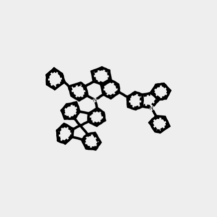 c1ccc(-c2ccc(N(c3cccc(-c4ccc5c(c4)c4ccccc4n5-c4ccccc4)c3)c3cccc4c3-c3ccccc3C43c4ccccc4-c4ccccc43)c(-c3ccccc3)c2)cc1